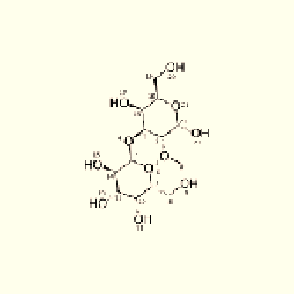 CO[C@@H]1[C@@H](O[C@H]2O[C@H](CO)[C@H](O)[C@H](O)[C@H]2O)[C@@H](O)[C@@H](CO)O[C@@H]1O